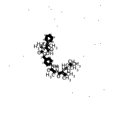 CC(C)[C@H](NC(=O)OC(C)(C)C)C(=O)N[C@@H](C)C(=O)Nc1ccc(COC(=O)N(C)[C@H](C(=O)O)C(C)(C)c2ccccc2)cc1